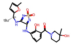 Cc1ccc([C@H](NC2=NS(=O)(=O)N=C2Nc2cccc(C(=O)N3CCCC(C)(O)C3)c2O)C(C)(C)C)o1